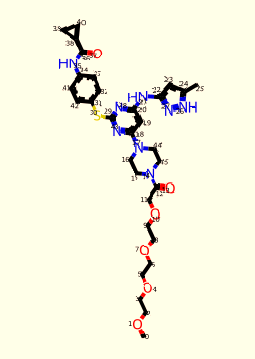 COCCOCCOCCOCC(=O)N1CCN(c2cc(Nc3cc(C)[nH]n3)nc(Sc3ccc(NC(=O)C4CC4)cc3)n2)CC1